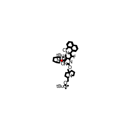 CC(C)(C)OC(=O)N1C2CCC1CN(c1nc(OCC34CCCN3C(CO[Si](C)(C)C(C)(C)C)CC4)nc3c(F)c(-c4cccc5cccc(Cl)c45)ncc13)C2